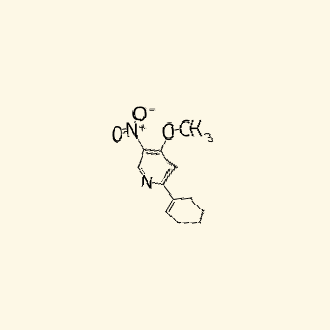 COc1cc(C2=CCCCC2)ncc1[N+](=O)[O-]